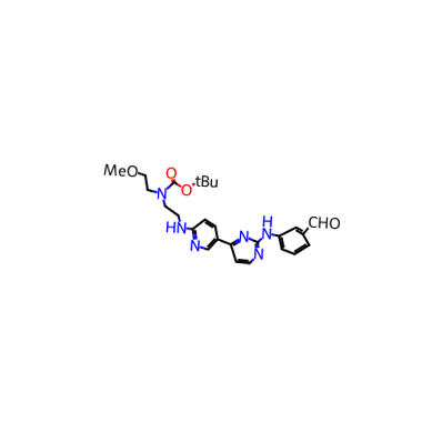 COCCN(CCNc1ccc(-c2ccnc(Nc3cccc(C=O)c3)n2)cn1)C(=O)OC(C)(C)C